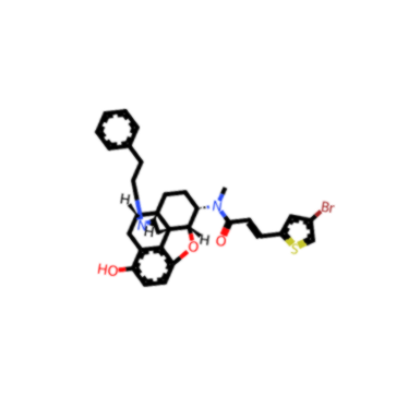 CN(C(=O)/C=C/c1cc(Br)cs1)[C@H]1CC[C@H]2[C@H]3Cc4c(O)ccc5c4[C@@]2(CCN3CCc2ccccc2)[C@H]1O5